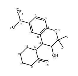 CC1(C)Oc2ccc([S+]([O-])C(F)(F)F)cc2C(N2CCCCC2=O)C1O